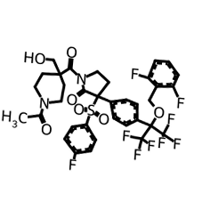 CC(=O)N1CCC(CO)(C(=O)N2CCC(c3ccc(C(OCc4c(F)cccc4F)(C(F)(F)F)C(F)(F)F)cc3)(S(=O)(=O)c3ccc(F)cc3)C2=O)CC1